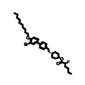 CCCCCCCCCCOc1ccc(-c2ccc(CC[C@H]3CC[C@H](OC(=O)[C@@H](F)CCCC)CC3)cc2)cc1Br